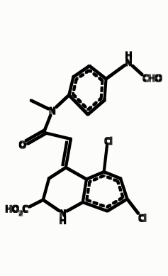 CN(C(=O)C=C1CC(C(=O)O)Nc2cc(Cl)cc(Cl)c21)c1ccc(NC=O)cc1